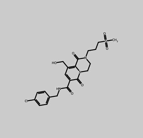 CS(=O)(=O)CCCN1CCn2c(c(CO)cc(C(=O)NCc3ccc(Cl)cc3)c2=O)C1=O